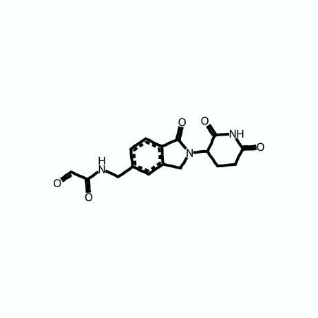 O=CC(=O)NCc1ccc2c(c1)CN(C1CCC(=O)NC1=O)C2=O